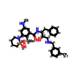 CCNc1cc(C(=O)N[C@@H](Cc2ccccc2)[C@H](O)CNCc2cccc(C(F)(F)F)c2)c(OC)c(N2CCCCS2(O)O)c1